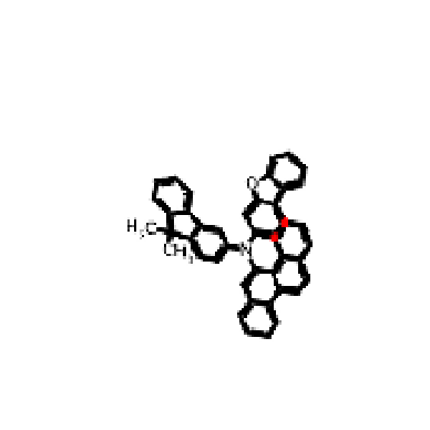 CC1(C)c2ccccc2-c2cc(N(c3ccc4c(c3)oc3ccccc34)c3cc4ccccc4c4ccc5ccccc5c34)ccc21